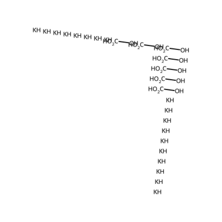 O=C(O)O.O=C(O)O.O=C(O)O.O=C(O)O.O=C(O)O.O=C(O)O.O=C(O)O.[KH].[KH].[KH].[KH].[KH].[KH].[KH].[KH].[KH].[KH].[KH].[KH].[KH].[KH].[KH].[KH].[KH].[KH]